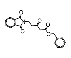 O=C(CCN1C(=O)c2ccccc2C1=O)CC(=O)OCc1ccccc1